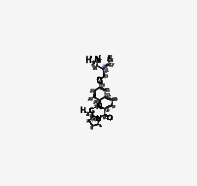 C[C@@H]1CCCN1C(=O)c1ccc2cc(OC/C(=C/F)CN)ccc2n1